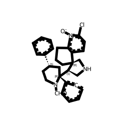 O=CN1CC[C@H](c2ccccc2)C[C@]1(c1ccccc1)[C@@H]1CNC[C@]12CCCc1c2ccc(Cl)[n+]1[O-]